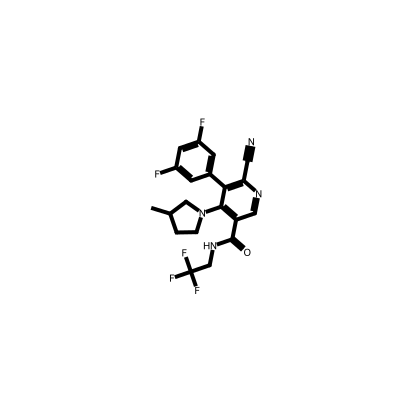 CC1CCN(c2c(C(=O)NCC(F)(F)F)cnc(C#N)c2-c2cc(F)cc(F)c2)C1